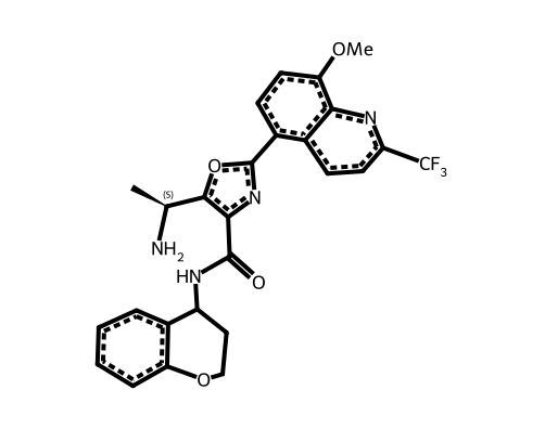 COc1ccc(-c2nc(C(=O)NC3CCOc4ccccc43)c([C@H](C)N)o2)c2ccc(C(F)(F)F)nc12